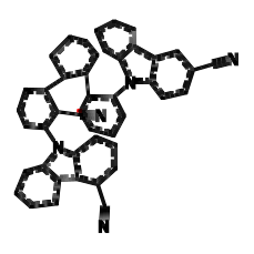 N#Cc1ccc2c(c1)c1ccccc1n2-c1ccccc1-c1ccccc1-c1cccc(-n2c3ccccc3c3c(C#N)cccc32)c1C#N